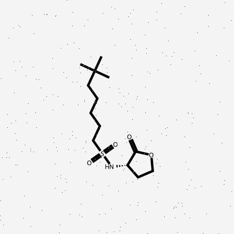 CC(C)(C)CCCCCS(=O)(=O)N[C@H]1CCOC1=O